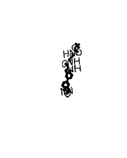 CC(C)(C)OC(=O)NCCNC(=O)c1cc2cc(-c3ccc4nonc4c3)ccc2[nH]1